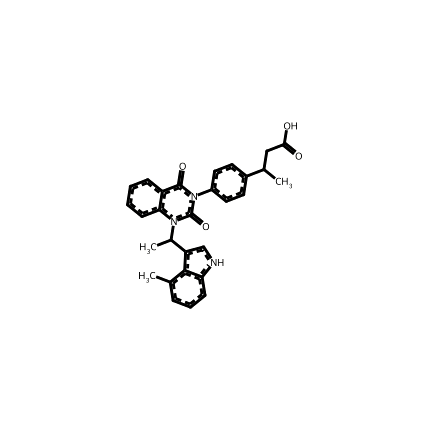 Cc1cccc2[nH]cc(C(C)n3c(=O)n(-c4ccc(C(C)CC(=O)O)cc4)c(=O)c4ccccc43)c12